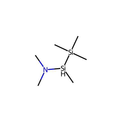 CN(C)[SiH](C)[Si](C)(C)C